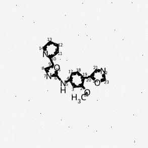 COc1cc(Nc2ncc(-c3ccccn3)o2)ccc1-c1cnco1